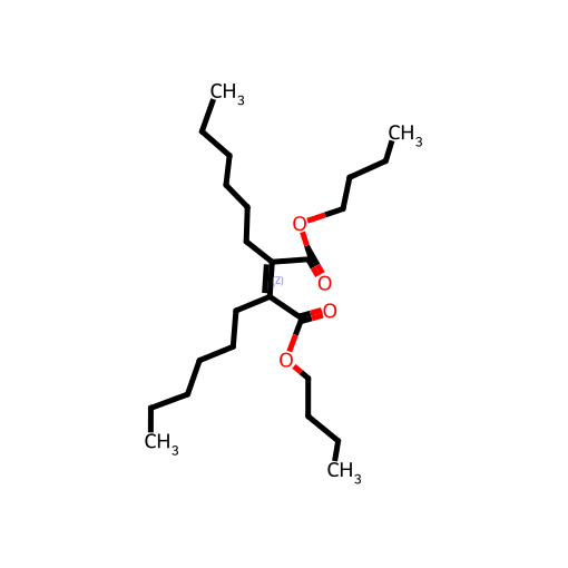 CCCCCC/C(C(=O)OCCCC)=C(\CCCCCC)C(=O)OCCCC